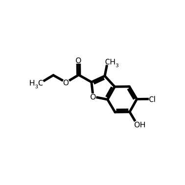 CCOC(=O)c1oc2cc(O)c(Cl)cc2c1C